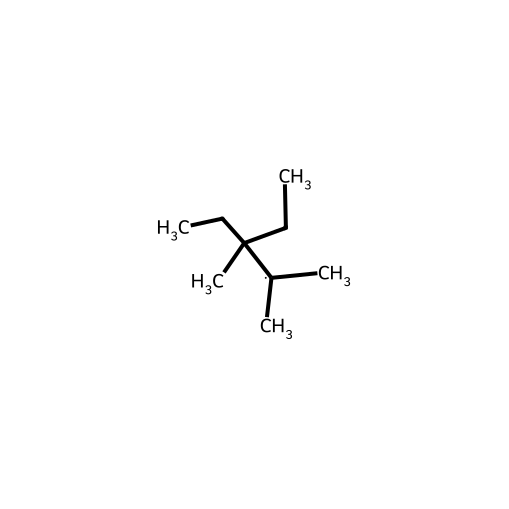 CCC(C)(CC)[C](C)C